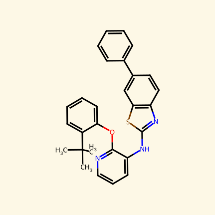 CC(C)(C)c1ccccc1Oc1ncccc1Nc1nc2ccc(-c3ccccc3)cc2s1